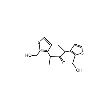 CC(C(=O)C(C)c1ccsc1CO)c1ccsc1CO